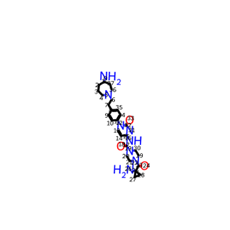 NC1CCCN(CCc2ccc(-n3ccc(NC(=O)N4CCN(C(=O)C5(N)CC5)CC4)nc3=O)cc2)CC1